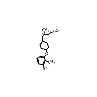 Cc1c(Br)cccc1OC1CCC(C[C@@H](C)CC=O)CC1